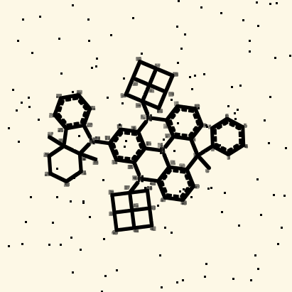 CC1(c2ccccc2)c2cccc3c2B2c4c(cc(N5c6ccccc6C6(C)CCCCC56C)cc4N(C45CC6CC7CC(C4)C765)c4cccc1c42)N3C12CC3CC4CC(C1)C432